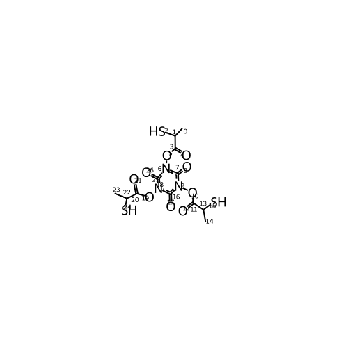 CC(S)C(=O)On1c(=O)n(OC(=O)C(C)S)c(=O)n(OC(=O)C(C)S)c1=O